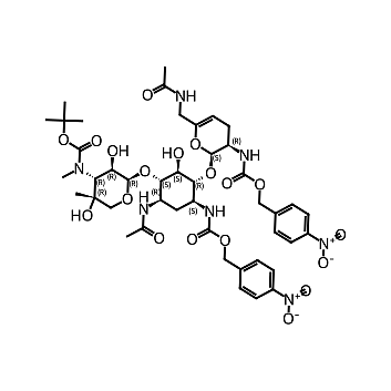 CC(=O)NCC1=CC[C@@H](NC(=O)OCc2ccc([N+](=O)[O-])cc2)[C@@H](O[C@H]2[C@H](O)[C@@H](O[C@H]3OC[C@](C)(O)[C@H](N(C)C(=O)OC(C)(C)C)[C@H]3O)[C@H](NC(C)=O)C[C@@H]2NC(=O)OCc2ccc([N+](=O)[O-])cc2)O1